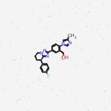 Cc1cn(-c2ccc(-c3nc4n(n3)CCCC4c3ccc(F)cc3)cc2CO)cn1